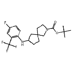 CC(C)(C)OC(=O)N1CCC2(CCC(Nc3ccc(F)cc3C(F)(F)F)C2)C1